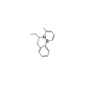 CCC1Cc2ccccc2B2C=CC=C(C)N21